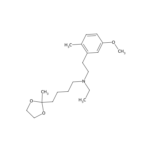 CCN(CCCCC1(C)OCCO1)CCc1cc(OC)ccc1C